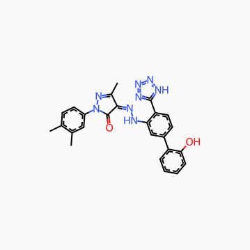 CC1=NN(c2ccc(C)c(C)c2)C(=O)C1=NNc1cc(-c2ccccc2O)ccc1-c1nnn[nH]1